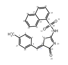 Cc1ccc(/C=C2\SC(NS(=O)(=O)c3cccc4ccccc34)=NC2=O)cc1